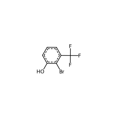 Oc1cccc(C(F)(F)F)c1Br